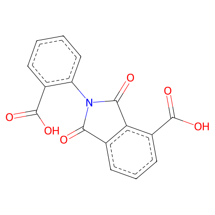 O=C(O)c1ccccc1N1C(=O)c2cccc(C(=O)O)c2C1=O